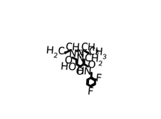 C=CC(C)N1CN(C(C)C(=C)C)n2cc(C(=O)NCc3ccc(F)cc3F)c(=O)c(O)c2C1=O